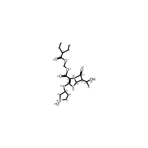 CCC(CC)C(=O)OCOC(=O)C1=C(SC2CC[S+]([O-])C2)SC2C(C(C)O)C(=O)N12